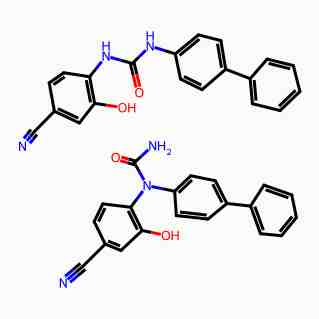 N#Cc1ccc(N(C(N)=O)c2ccc(-c3ccccc3)cc2)c(O)c1.N#Cc1ccc(NC(=O)Nc2ccc(-c3ccccc3)cc2)c(O)c1